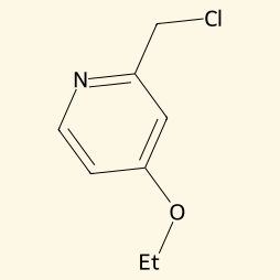 CCOc1ccnc(CCl)c1